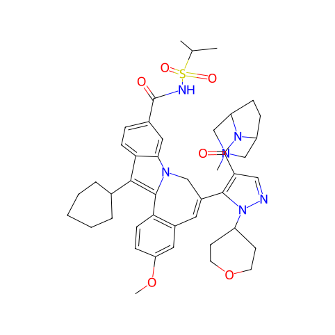 COc1ccc2c(c1)C=C(c1c(C(=O)N3C4CCC3CN(C)C4)cnn1C1CCOCC1)Cn1c-2c(C2CCCCC2)c2ccc(C(=O)NS(=O)(=O)C(C)C)cc21